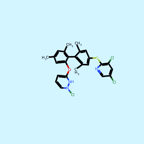 Cc1[c]c(C)c(-c2c(C)cc(Sc3ncc(Cl)cc3Cl)cc2C)c(OC2=CC=CN(Cl)N2)c1